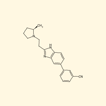 C[C@@H]1CCCN1CCc1nc2cc(-c3cccc(C#N)c3)ccc2[nH]1